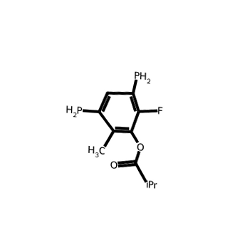 Cc1c(P)cc(P)c(F)c1OC(=O)C(C)C